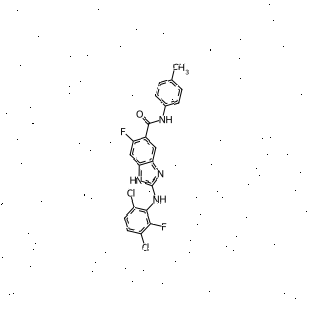 Cc1ccc(NC(=O)c2cc3nc(Nc4c(Cl)ccc(Cl)c4F)[nH]c3cc2F)cc1